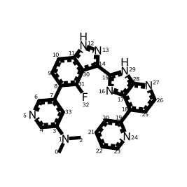 CN(C)c1cncc(-c2ccc3[nH]nc(-c4nc5c(-c6ccccn6)ccnc5[nH]4)c3c2F)c1